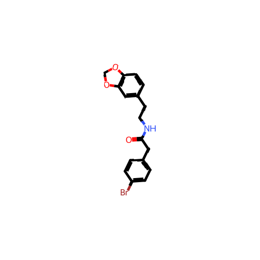 O=C(Cc1ccc(Br)cc1)NCCc1ccc2c(c1)OCO2